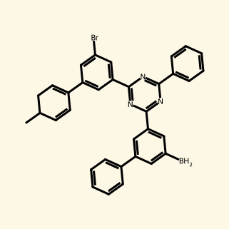 Bc1cc(-c2ccccc2)cc(-c2nc(-c3ccccc3)nc(-c3cc(Br)cc(C4=CCC(C)C=C4)c3)n2)c1